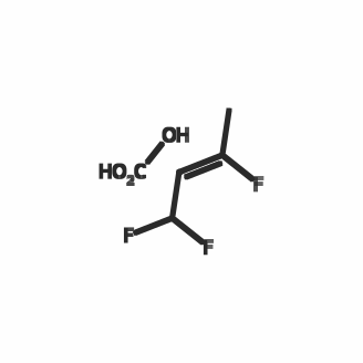 CC(F)=CC(F)F.O=C(O)O